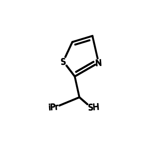 CC(C)C(S)c1nccs1